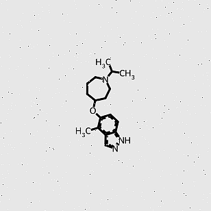 Cc1c(OC2CCCN(C(C)C)CC2)ccc2[nH]ncc12